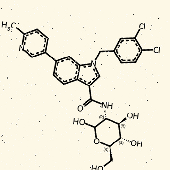 Cc1ccc(-c2ccc3c(C(=O)N[C@H]4C(O)O[C@H](CO)[C@@H](O)[C@@H]4O)cn(Cc4ccc(Cl)c(Cl)c4)c3c2)cn1